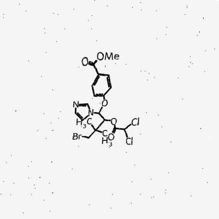 COC(=O)c1ccc(OC(C(OC(=O)C(Cl)Cl)C(C)(C)CBr)n2ccnc2)cc1